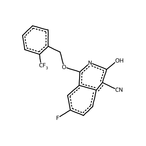 N#Cc1c(O)nc(OCc2ccccc2C(F)(F)F)c2cc(F)ccc12